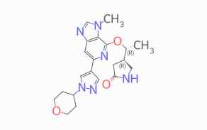 C[C@@H](Oc1nc(-c2cnn(C3CCOCC3)c2)cc2ncn(C)c12)[C@H]1CNC(=O)C1